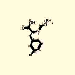 BOC=N[C@@H](Cc1cccc(I)c1)C(=O)O